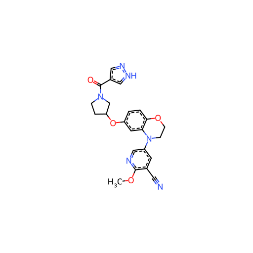 COc1ncc(N2CCOc3ccc(OC4CCN(C(=O)c5cn[nH]c5)C4)cc32)cc1C#N